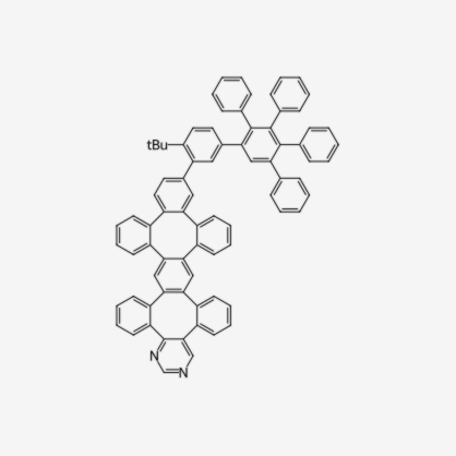 CC(C)(C)c1ccc(-c2cc(-c3ccccc3)c(-c3ccccc3)c(-c3ccccc3)c2-c2ccccc2)cc1-c1ccc2c3ccccc3c3cc4c(cc3c3ccccc3c2c1)c1ccccc1c1cncnc1c1ccccc41